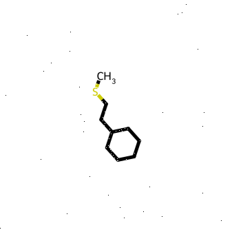 CSCCC1CCCCC1